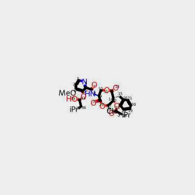 COc1ccnc(C(=O)N[C@H]2COC(=O)[C@H](Cc3ccccc3)[C@@H](OC(=O)C(C)C)[C@H](C)OC2=O)c1OC(O)CC(C)C